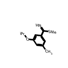 CSC(=N)c1cc(C)cc(OC(C)C)c1